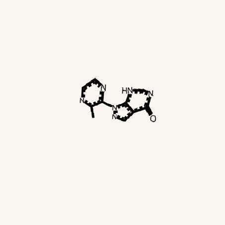 Cc1nccnc1-n1ncc2c(=O)nc[nH]c21